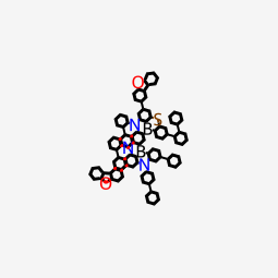 c1ccc(-c2ccc(N3c4cc(-c5ccccc5)ccc4B4c5cc6c(cc5N(c5ccccc5-c5ccccc5)c5cc(-c7ccc8oc9ccccc9c8c7)cc3c54)N(c3ccccc3-c3ccccc3)c3cc(-c4ccc5oc7ccccc7c5c4)cc4c3B6c3ccc(-c5ccccc5-c5ccccc5)cc3S4)cc2)cc1